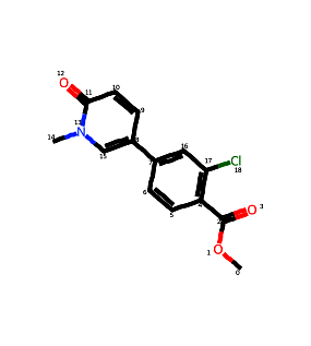 COC(=O)c1ccc(-c2ccc(=O)n(C)c2)cc1Cl